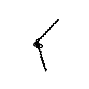 CCCCCC=CCC=CCC=CCC=CCCCCOC(CO)COC(=O)CCCCCCCCCCCCCCCCC